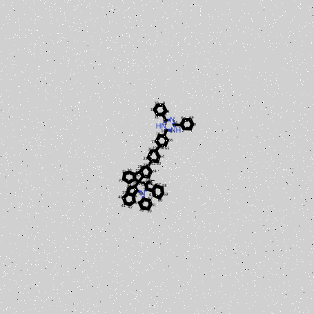 c1ccc(C2=NC(c3ccccc3)NC(c3ccc(-c4ccc(-c5ccc6c(c5)-c5ccccc5C65c6ccc7ccccc7c6N(c6ccccc6)c6c5ccc5ccccc65)cc4)cc3)N2)cc1